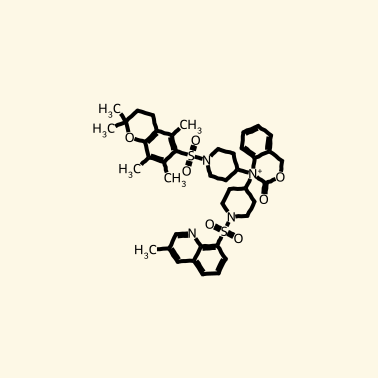 Cc1cnc2c(S(=O)(=O)N3CCC([N+]4(C5CCN(S(=O)(=O)c6c(C)c(C)c7c(c6C)CCC(C)(C)O7)CC5)C(=O)OCc5ccccc54)CC3)cccc2c1